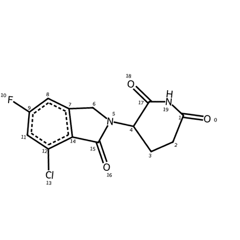 O=C1CCC(N2Cc3cc(F)cc(Cl)c3C2=O)C(=O)N1